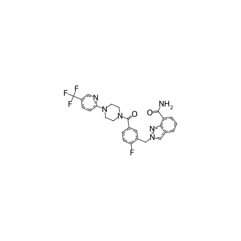 NC(=O)c1cccc2cn(Cc3cc(C(=O)N4CCN(c5ccc(C(F)(F)F)cn5)CC4)ccc3F)nc12